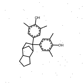 Cc1cc(C2(c3cc(C)c(O)c(C)c3)CC3CC2C2CCCC32)cc(C)c1O